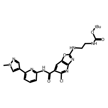 Cn1cc(-c2cccc(NC(=O)c3cc4oc(NCCNC(=O)OC(C)(C)C)nc4nc3Cl)n2)cn1